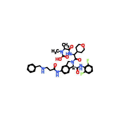 CC(C(=O)NC(C(=O)N1Cc2cc(NC(=O)CCNCc3ccccc3)ccc2[C@H]1C(=O)Nc1c(F)cccc1F)C1CCOCC1)N(C)C(=O)O